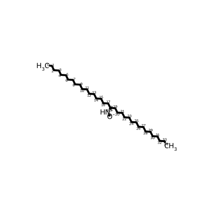 CCCCCCCCCCCCCCCCCCC(CCCCCCCCCCCCCCCC)=[NH+][O-]